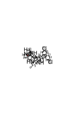 CC(C)CC(NC(=O)OC(c1cccc(Cl)c1)C1(c2cccc(Cl)c2)CC1)C(=O)NC(CC1CCNC1=O)C(=O)C(=O)NC1CC1